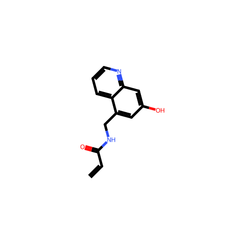 C=CC(=O)NCc1cc(O)cc2ncccc12